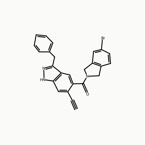 C#Cc1cc2[nH]nc(Cc3ccccc3)c2cc1C(=O)N1Cc2ccc(Br)cc2C1